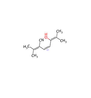 CC(C)=C(O)/C=C\C(C#N)=C(C)C